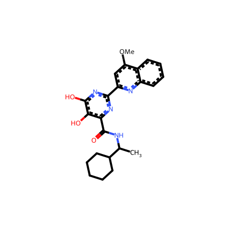 COc1cc(-c2nc(O)c(O)c(C(=O)NC(C)C3CCCCC3)n2)nc2ccccc12